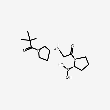 CC(C)(C)C(=O)N1CC[C@@H](NCC(=O)N2CCC[C@H]2B(O)O)C1